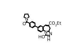 CCOC(=O)C1=Cc2cc(-c3ccc(C(=O)N4CCCC4)cc3)ccc2N2C(=NNC2O)C1